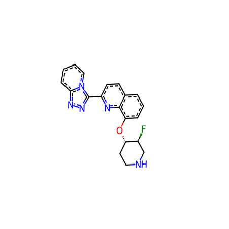 F[C@H]1CNCC[C@@H]1Oc1cccc2ccc(-c3nnc4ccccn34)nc12